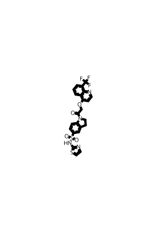 O=C(COc1ccnc2c(C(F)(F)F)cccc12)N1CCc2cc(S(=O)(=O)Nc3nccs3)ccc21